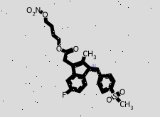 CC1=C(CC(=O)OCCCCO[N+](=O)[O-])c2cc(F)ccc2/C1=C\c1ccc(S(C)(=O)=O)cc1